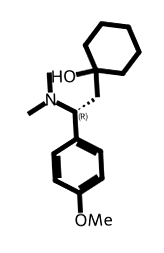 COc1ccc([C@@H](CC2(O)CCCCC2)N(C)C)cc1